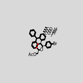 CC(=O)O.CC(=O)O.CC(=O)O.CC(=O)OC[C@H]1CC[C@@H](c2ccccc2C(c2ccccc2)c2ccccc2)[C@@H](c2ccc(Br)cc2)O1